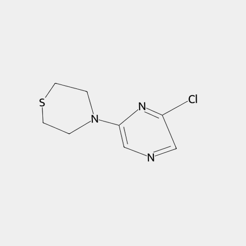 Clc1cncc(N2CCSCC2)n1